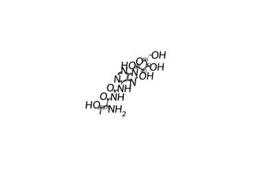 C[C@@H](O)[C@H](N)C(=O)NC(=O)Nc1ncnc2c1ncn2[C@]1(O)O[C@H](CO)[C@@H](O)[C@H]1O